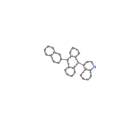 c1ccc2cc(-c3c4ccccc4c(-c4ccnc5ccccc45)c4ccccc34)ccc2c1